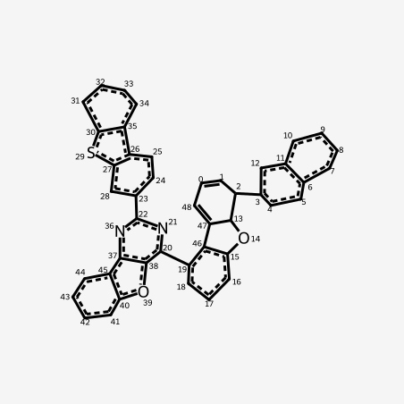 C1=CC(c2ccc3ccccc3c2)C2Oc3cccc(-c4nc(-c5ccc6c(c5)sc5ccccc56)nc5c4oc4ccccc45)c3C2=C1